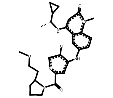 COCCC1CCCN1C(=O)c1cc(Nc2ccc3c(c2)c(N[C@H](C)C2CC2)cc(=O)n3C)c(Cl)cn1